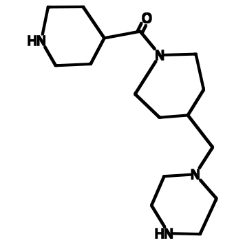 O=C(C1CCNCC1)N1CCC(CN2CCNCC2)CC1